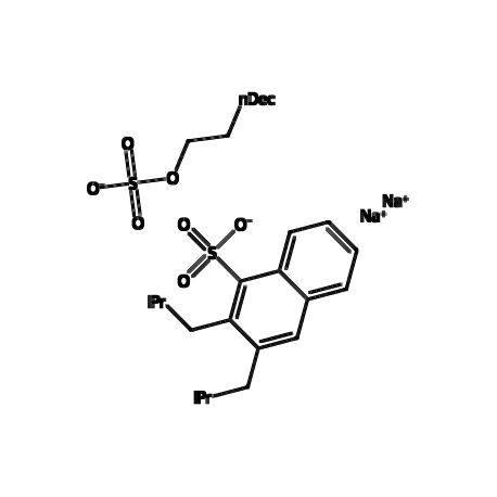 CC(C)Cc1cc2ccccc2c(S(=O)(=O)[O-])c1CC(C)C.CCCCCCCCCCCCOS(=O)(=O)[O-].[Na+].[Na+]